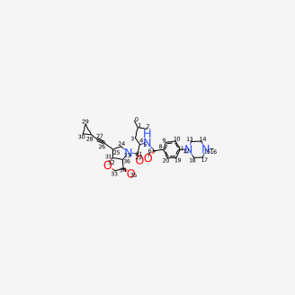 CC(C)CC(NC(=O)c1ccc(N2CCN(C)CC2)cc1)C(=O)N1CC(C#CC2CC2)C2OCC(=O)C21